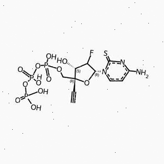 C#C[C@]1(COP(=O)(O)OP(=O)(O)OP(=O)(O)O)O[C@@H](n2ccc(N)nc2=S)C(F)[C@H]1O